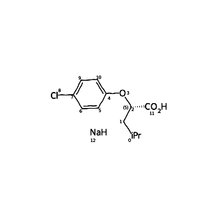 CC(C)C[C@H](Oc1ccc(Cl)cc1)C(=O)O.[NaH]